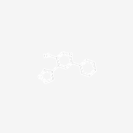 Oc1cnc(-c2ccccc2)cc1-c1ccoc1